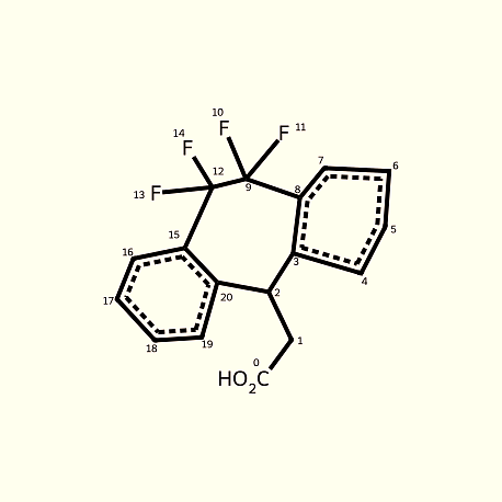 O=C(O)CC1c2ccccc2C(F)(F)C(F)(F)c2ccccc21